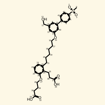 CS(=O)(=O)c1ccc(-c2cc(CO)cc(OCCCCCCc3cccc(OCCCC(=O)O)c3CCC(=O)O)c2)cc1